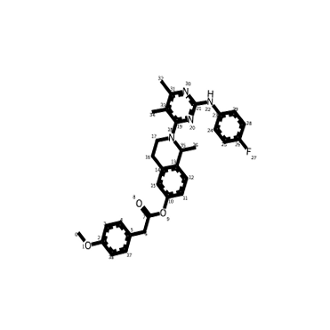 COc1ccc(CC(=O)Oc2ccc3c(c2)CCN(c2nc(Nc4ccc(F)cc4)nc(C)c2C)C3C)cc1